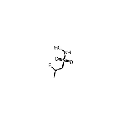 CC(F)CS(=O)(=O)NO